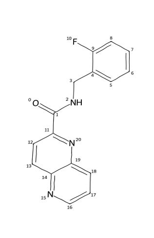 O=C(NCc1ccccc1F)c1ccc2ncccc2n1